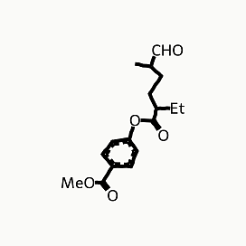 CCC(CCC(C)C=O)C(=O)Oc1ccc(C(=O)OC)cc1